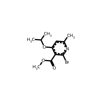 COC(=O)c1c(OC(C)C)cc(C)nc1Br